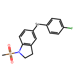 CS(=O)(=O)N1CCc2cc([Se]c3ccc(F)cc3)ccc21